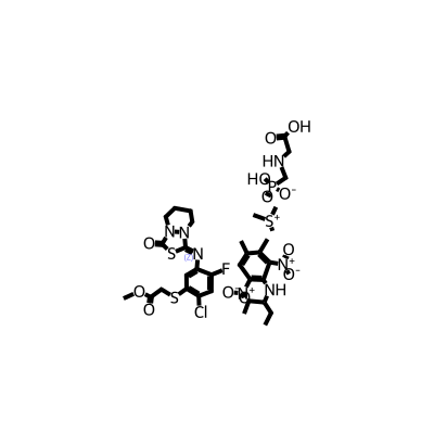 CCC(CC)Nc1c([N+](=O)[O-])cc(C)c(C)c1[N+](=O)[O-].COC(=O)CSc1cc(/N=c2\sc(=O)n3n2CCCC3)c(F)cc1Cl.C[S+](C)C.O=C(O)CNCP(=O)([O-])O